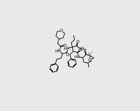 CCCC(NC(=O)C(CCc1ccccc1)NC(=O)CN1CCOCC1)(C(N)=O)C(Cc1ccccc1)C(=O)NC(CC(C)C)C(=O)[C@@]1(C)CO1